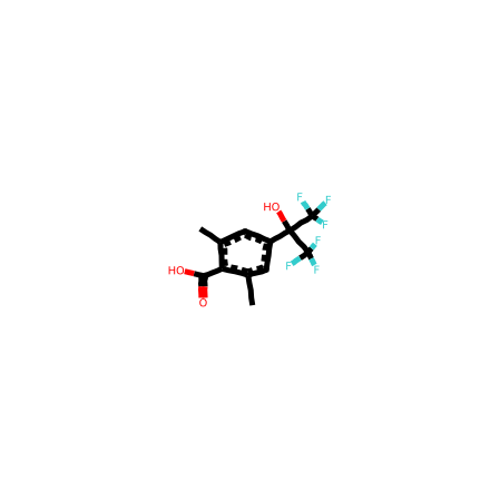 Cc1cc(C(O)(C(F)(F)F)C(F)(F)F)cc(C)c1C(=O)O